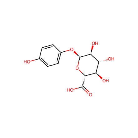 O=C(O)[C@@H]1O[C@@H](Oc2ccc(O)cc2)[C@@H](O)[C@H](O)[C@H]1O